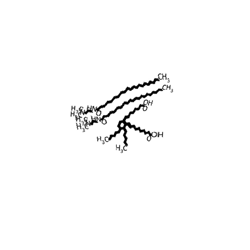 CCCCCCC1C=CC(CCCCCCCC(=O)O)C(C=CCCCCCCCC(=O)O)C1CCCCCC.CCCCCCCCCCCCCCCCCCCCCC(=O)NCCCN(C)C.CCCCCCCCCCCCCCCCCCCCCC(=O)NCCCN(C)C